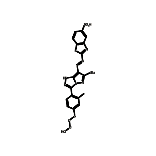 Cc1cc(SOOO)ccc1-c1n[nH]c2c(N=Nc3nc4cc(S(=O)(=O)O)ccc4s3)c(C(C)(C)C)nn12